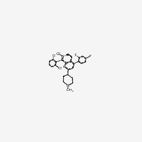 CN1CCC(c2cc(-c3ccc(F)cc3F)c3cc[n+]([O-])c(-c4c(Cl)cccc4Cl)c3n2)CC1